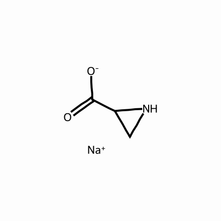 O=C([O-])C1CN1.[Na+]